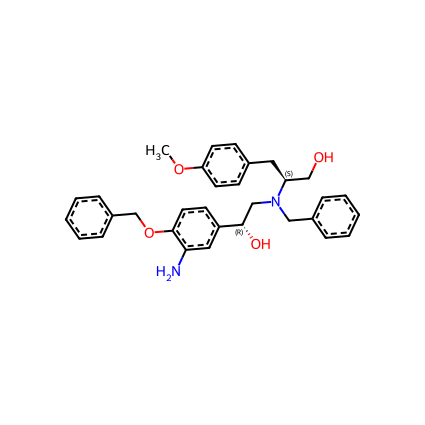 COc1ccc(C[C@@H](CO)N(Cc2ccccc2)C[C@H](O)c2ccc(OCc3ccccc3)c(N)c2)cc1